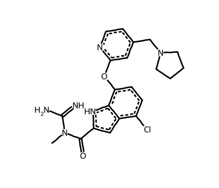 CN(C(=N)N)C(=O)c1cc2c(Cl)ccc(Oc3cc(CN4CCCC4)ccn3)c2[nH]1